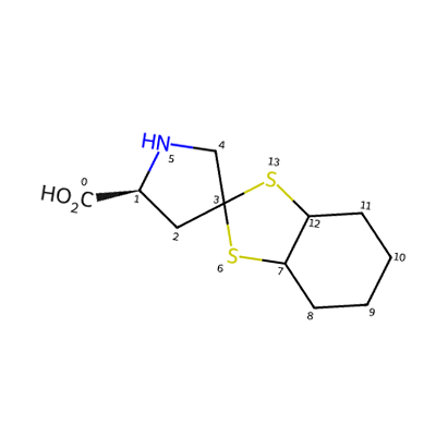 O=C(O)[C@@H]1CC2(CN1)SC1CCCCC1S2